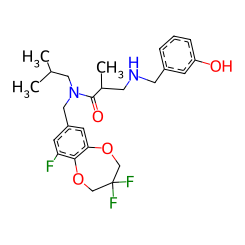 CC(C)CN(Cc1cc(F)c2c(c1)OCC(F)(F)CO2)C(=O)C(C)CNCc1cccc(O)c1